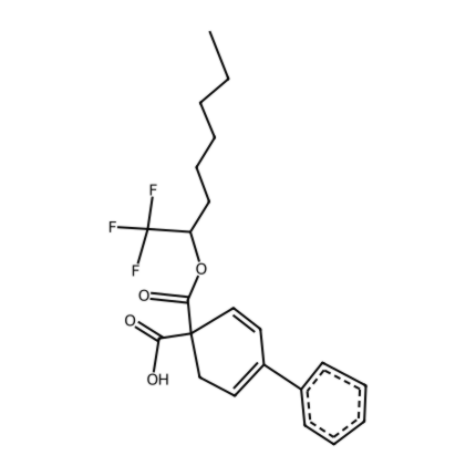 CCCCCCC(OC(=O)C1(C(=O)O)C=CC(c2ccccc2)=CC1)C(F)(F)F